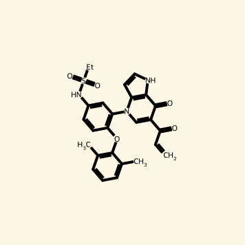 C=CC(=O)c1cn(-c2cc(NS(=O)(=O)CC)ccc2Oc2c(C)cccc2C)c2cc[nH]c2c1=O